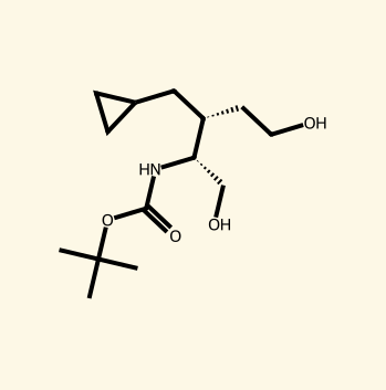 CC(C)(C)OC(=O)N[C@@H](CO)[C@@H](CCO)CC1CC1